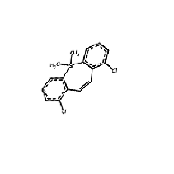 C[Si]1(C)c2cccc(Cl)c2C=Cc2c(Cl)cccc21